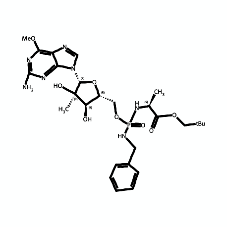 COc1nc(N)nc2c1ncn2[C@@H]1O[C@H](COP(=O)(NCc2ccccc2)N[C@@H](C)C(=O)OCC(C)(C)C)[C@@H](O)[C@@]1(C)O